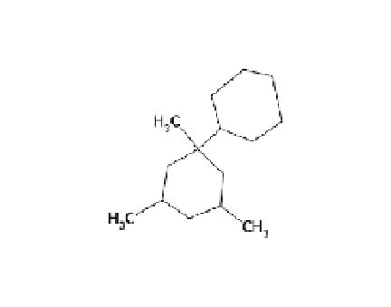 CC1CC(C)CC(C)(C2CCCCC2)C1